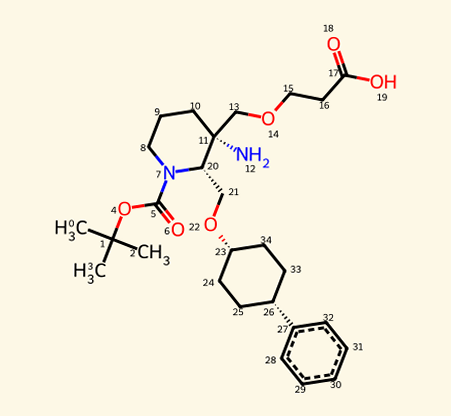 CC(C)(C)OC(=O)N1CCC[C@@](N)(COCCC(=O)O)[C@@H]1CO[C@H]1CC[C@@H](c2ccccc2)CC1